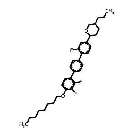 CCCCCCCCOc1ccc(-c2ccc(-c3ccc(C4CCC(CCC)CO4)cc3F)cc2)c(F)c1F